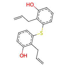 C=CCc1c(O)cccc1Sc1cccc(O)c1CC=C